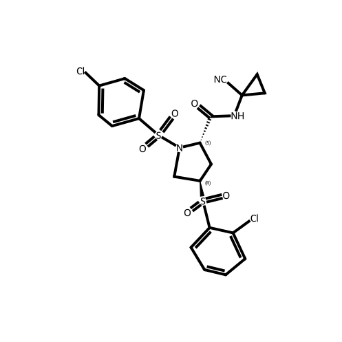 N#CC1(NC(=O)[C@@H]2C[C@@H](S(=O)(=O)c3ccccc3Cl)CN2S(=O)(=O)c2ccc(Cl)cc2)CC1